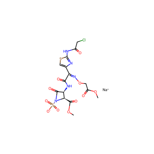 COC(=O)CON=C(C(=O)N[C@@H]1C(=O)N(S(=O)(=O)[O-])[C@@H]1C(=O)OC)c1csc(NC(=O)CCl)n1.[Na+]